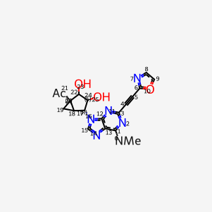 CNc1nc(C#Cc2ncco2)nc2c1ncn2[C@@H]1C2C[C@]2(C(C)=O)C(O)[C@H]1O